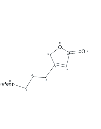 CCCCCCCCC1=CC(=O)OC1